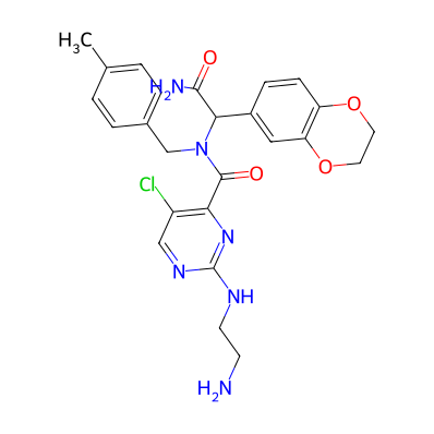 Cc1ccc(CN(C(=O)c2nc(NCCN)ncc2Cl)C(C(N)=O)c2ccc3c(c2)OCCO3)cc1